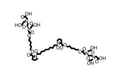 O=C(O)CN(CCN(CC(=O)O)CC(=O)OCCCCCCOC(=O)C1CCCN1C(=O)CCCCCCCCC(=O)N1CCCC1C(=O)OCCCCCCOC(=O)CN(CCN(CC(=O)O)CC(=O)O)CC(=O)O)CC(=O)O